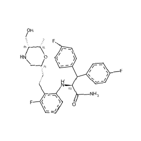 C[C@@H]1O[C@H](CCc2c(F)cccc2N[C@H](C(N)=O)C(c2ccc(F)cc2)c2ccc(F)cc2)CN[C@@H]1CO